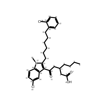 CCCCC(CC(=O)O)CC(=O)c1c(CCCCCCc2ccccc2Cl)n(C)c2ccc(Cl)cc12